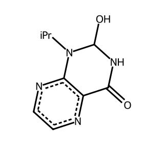 CC(C)N1c2nccnc2C(=O)NC1O